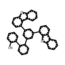 N#Cc1ccccc1-c1ccccc1-c1cc(-c2cccc3c2oc2ccccc23)cc(-c2cccc3oc4ccccc4c23)c1